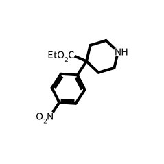 CCOC(=O)C1(c2ccc([N+](=O)[O-])cc2)CCNCC1